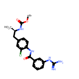 CCCOC(=O)N[C@@H](Cc1ccc(NC(=O)c2cccc(NC(=N)N)c2)c(Cl)c1)C(=O)O